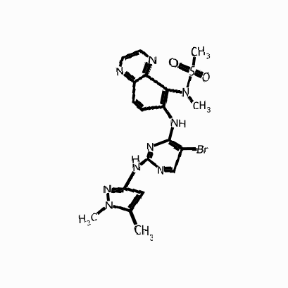 Cc1cc(Nc2ncc(Br)c(Nc3ccc4nccnc4c3N(C)S(C)(=O)=O)n2)nn1C